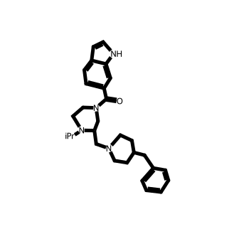 CC(C)N1CCN(C(=O)c2ccc3cc[nH]c3c2)CC1CN1CCC(Cc2ccccc2)CC1